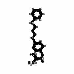 CN(Cc1ccc(OCCCOc2ccccc2)cc1)C(=N)N